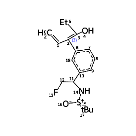 C=C/C(=C(/O)CC)c1cccc(C(CF)N[S+]([O-])C(C)(C)C)c1